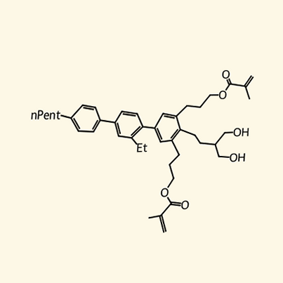 C=C(C)C(=O)OCCCc1cc(-c2ccc(-c3ccc(CCCCC)cc3)cc2CC)cc(CCCOC(=O)C(=C)C)c1CCC(CO)CO